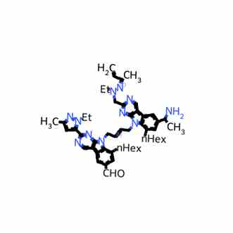 C=C/C(C)=N\N(CC)Cc1ncc2c3cc(C(C)N)cc(CCCCCC)c3n(C/C=C/Cn3c4nc(-c5cc(C)nn5CC)ncc4c4cc(C=O)cc(CCCCCC)c43)c2n1